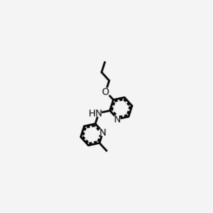 CCCOc1cccnc1Nc1cccc(C)n1